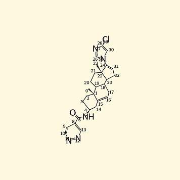 C[C@]12CC[C@H](NC(=O)c3ccnnc3)CC1=CCC1C2CC[C@]2(C)C(n3cnc(Cl)c3)=CCC12